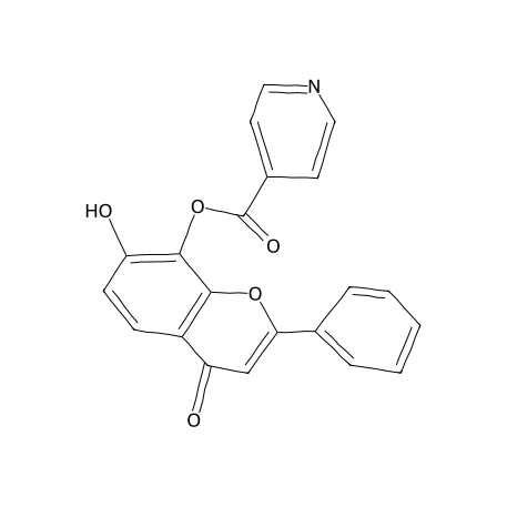 O=C(Oc1c(O)ccc2c(=O)cc(-c3ccccc3)oc12)c1ccncc1